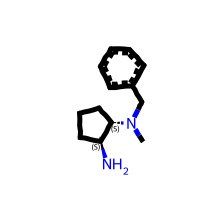 CN(Cc1ccccc1)[C@H]1CCC[C@@H]1N